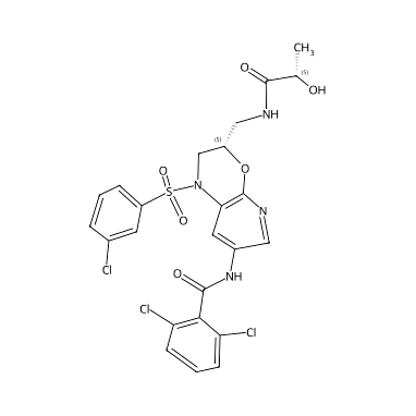 C[C@H](O)C(=O)NC[C@H]1CN(S(=O)(=O)c2cccc(Cl)c2)c2cc(NC(=O)c3c(Cl)cccc3Cl)cnc2O1